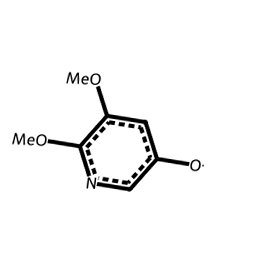 COc1cc([O])cnc1OC